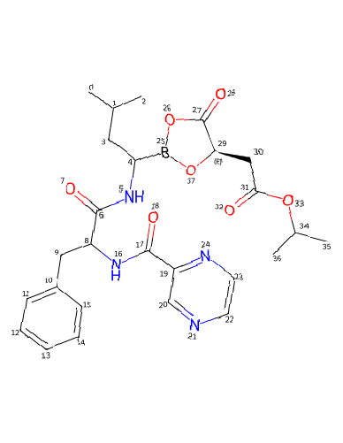 CC(C)CC(NC(=O)C(Cc1ccccc1)NC(=O)c1cnccn1)B1OC(=O)[C@@H](CC(=O)OC(C)C)O1